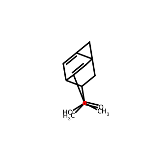 CC(C)C1CC23C=C(C(=O)O)C1C=C2C3